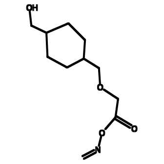 C=NOC(=O)COCC1CCC(CO)CC1